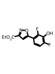 CCOC(=O)c1cc(-c2ccc(F)c(O)c2F)on1